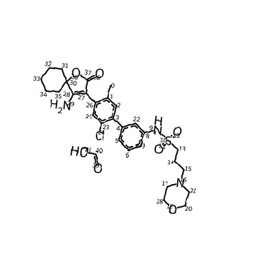 Cc1cc(-c2cccc(NS(=O)(=O)CCCN3CCOCC3)c2)c(Cl)cc1C1=C(N)C2(CCCCC2)OC1=O.O=CO